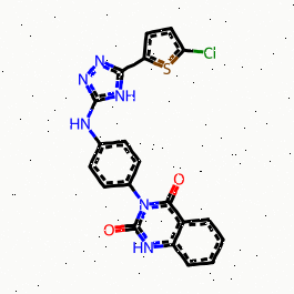 O=c1[nH]c2ccccc2c(=O)n1-c1ccc(Nc2nnc(-c3ccc(Cl)s3)[nH]2)cc1